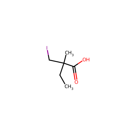 CCC(C)(CI)C(=O)O